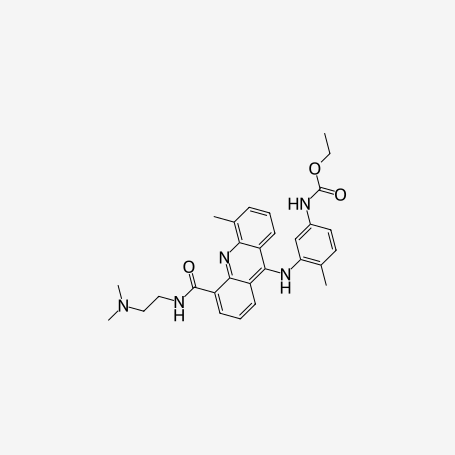 CCOC(=O)Nc1ccc(C)c(Nc2c3cccc(C)c3nc3c(C(=O)NCCN(C)C)cccc23)c1